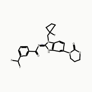 O=C(/N=c1\[nH]c2cc(N3CCCOC3=O)ccc2n1CC1(F)CCC1)c1cccc(C(F)F)c1